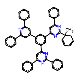 CC1(c2nc(-c3ccccc3)cc(-c3cc(-c4cc(-c5ccccc5)nc(-c5ccccc5)c4)cc(-c4cc(-c5ccccc5)nc(-c5ccccc5)n4)c3)n2)C=CC=CC1